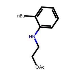 CCCCc1ccccc1NCCOC(C)=O